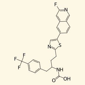 O=C(O)NC(CCc1ncc(-c2ccc3cnc(F)cc3c2)s1)Cc1ccc(C(F)(F)F)cc1